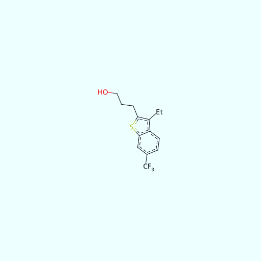 CCc1c(CCCO)sc2cc(C(F)(F)F)ccc12